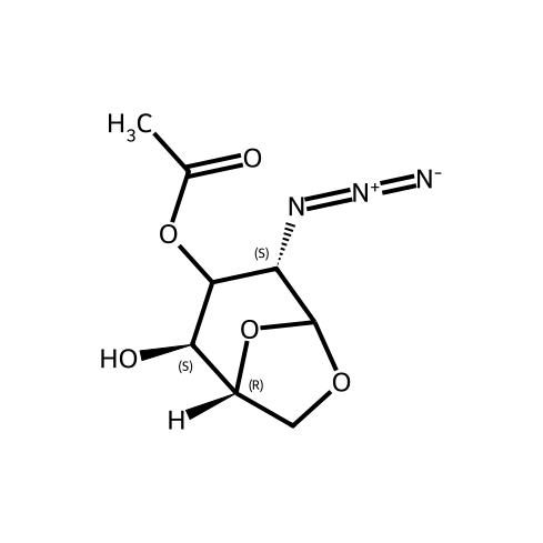 CC(=O)OC1[C@H](N=[N+]=[N-])C2OC[C@@H](O2)[C@H]1O